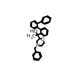 CC(O)(c1ccccc1-c1ccccc1-c1ccccc1)C1CN(Cc2ccccc2)CCO1